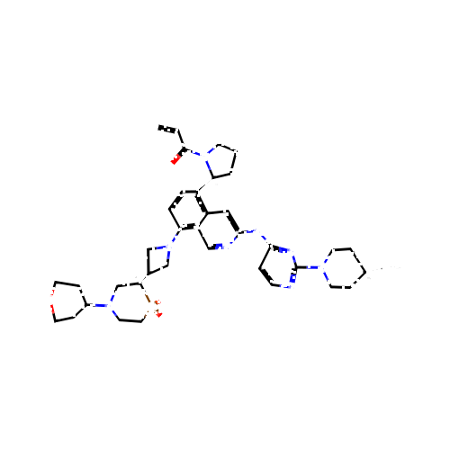 C=CC(=O)N1CCC[C@H]1c1ccc(N2CC([C@@H]3CN(C4CCOCC4)CCS3(=O)=O)C2)c2cnc(Nc3ccnc(N4CC[C@@H](OC)[C@@H](F)C4)n3)cc12